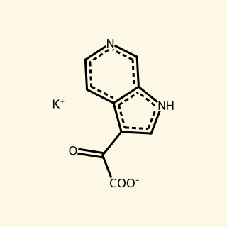 O=C([O-])C(=O)c1c[nH]c2cnccc12.[K+]